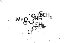 COC(=O)c1cc(C(=O)NCCN(C)C)cc(-c2cc(Cl)ccc2C)c1.Cl